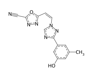 Cc1cc(O)cc(-c2ncn(/C=C\c3nnc(C#N)o3)n2)c1